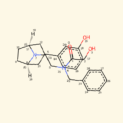 O=C(CO)N(CCN1[C@@H]2CC[C@H]1CC(c1cccc(O)c1)C2)Cc1ccccc1